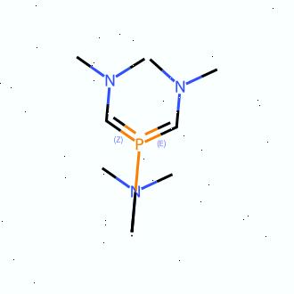 CN(C)[CH]/P(=C\N(C)C)=C/N(C)C